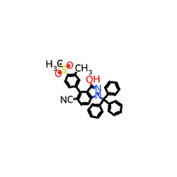 Cc1cc(-c2c(C#N)ccc3c2c(O)nn3C(c2ccccc2)(c2ccccc2)c2ccccc2)ccc1S(C)(=O)=O